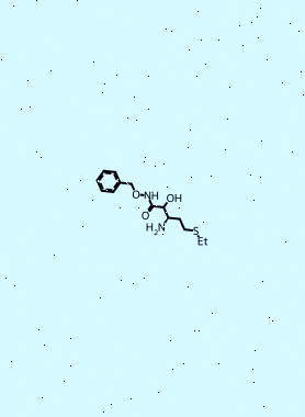 CCSCC[C@@H](N)C(O)C(=O)NOCc1ccccc1